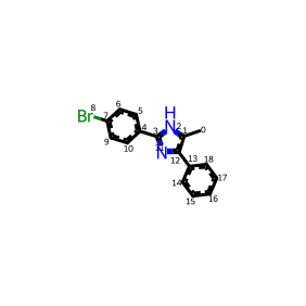 Cc1[nH]c(-c2ccc(Br)cc2)nc1-c1ccccc1